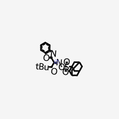 CC(C)(C)C(=O)/C(=N\OS(=O)(=O)C12CC3CC(CC(C3)C1)C2)c1nc2ccccc2o1